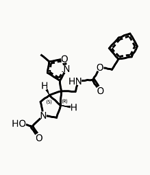 Cc1cc(C2(CNC(=O)OCc3ccccc3)[C@@H]3CN(C(=O)O)C[C@@H]32)no1